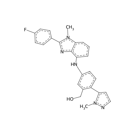 Cn1nccc1-c1ccc(Nc2cccc3c2nc(-c2ccc(F)cc2)n3C)cc1CO